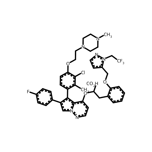 Cc1c(-c2c(-c3ccc(F)cc3)cn3nccc(OC(Cc4ccccc4OCc4ccnn4CC(F)(F)F)C(=O)O)c23)ccc(OCCN2CCN(C)CC2)c1Cl